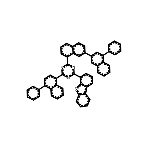 c1ccc(-c2cc(-c3ccc4cccc(-c5nc(-c6ccc(-c7ccccc7)c7ccccc67)nc(-c6cccc7c6sc6ccccc67)n5)c4c3)cc3ccccc23)cc1